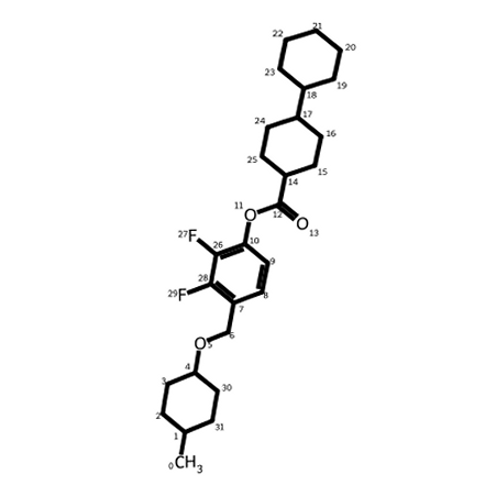 CC1CCC(OCc2ccc(OC(=O)C3CCC(C4CCCCC4)CC3)c(F)c2F)CC1